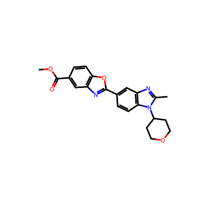 COC(=O)c1ccc2oc(-c3ccc4c(c3)nc(C)n4C3CCOCC3)nc2c1